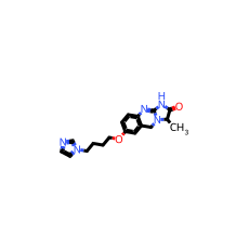 CC1C(=O)NC2=Nc3ccc(OCCCCn4ccnc4)cc3CN21